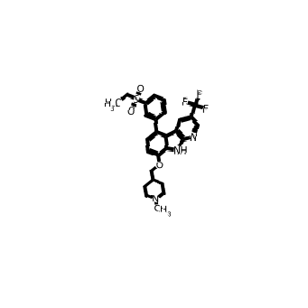 CCS(=O)(=O)c1cccc(C2=CC=C(OCC3CCN(C)CC3)C3Nc4ncc(C(F)(F)F)cc4C23)c1